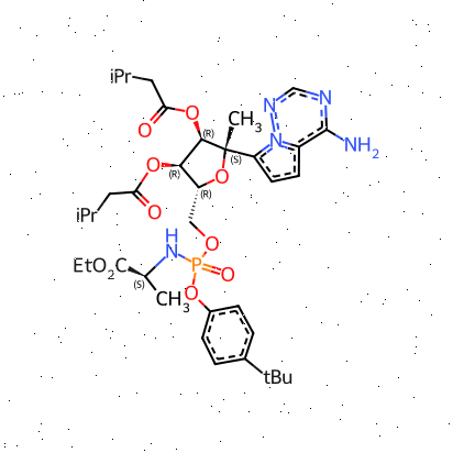 CCOC(=O)[C@H](C)NP(=O)(OC[C@H]1O[C@@](C)(c2ccc3c(N)ncnn23)[C@H](OC(=O)CC(C)C)[C@@H]1OC(=O)CC(C)C)Oc1ccc(C(C)(C)C)cc1